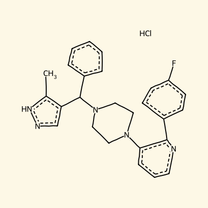 Cc1[nH]ncc1C(c1ccccc1)N1CCN(c2cccnc2-c2ccc(F)cc2)CC1.Cl